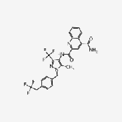 Cc1c(NC(=O)c2cc(C(N)=O)c3ccccc3n2)c(C(F)(F)F)nn1Cc1ccc(CC(F)(F)F)cc1